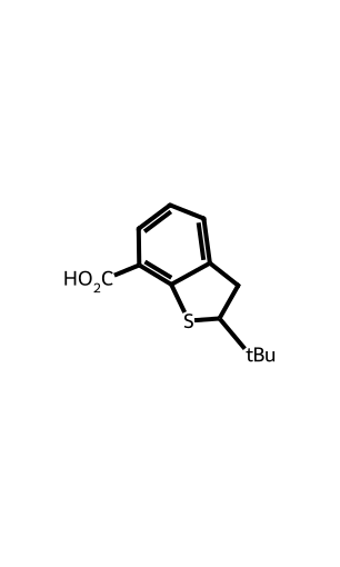 CC(C)(C)C1Cc2cccc(C(=O)O)c2S1